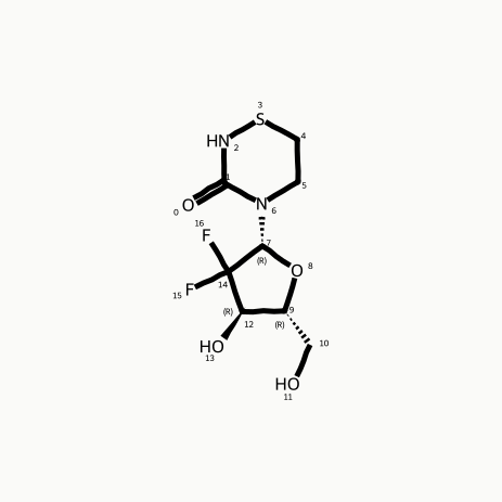 O=C1NSCCN1[C@@H]1O[C@H](CO)[C@@H](O)C1(F)F